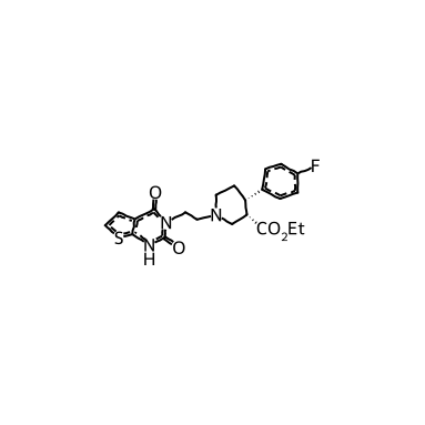 CCOC(=O)[C@@H]1CN(CCn2c(=O)[nH]c3sccc3c2=O)CC[C@@H]1c1ccc(F)cc1